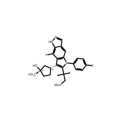 COCC(C)(C)c1c([C@@H]2CC[C@@](O)(C(=O)O)C2)c2c(F)c3[nH]ncc3cc2n1-c1ccc(F)cc1